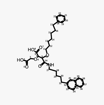 O=C(O)COC(C(=O)O)C(OCCCCCCCc1ccccc1)C(=O)NCCCCCc1ccc2ccccc2c1